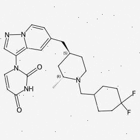 C[C@@H]1C[C@@H](Cc2ccn3ncc(-n4ccc(=O)[nH]c4=O)c3c2)CCN1CC1CCC(F)(F)CC1